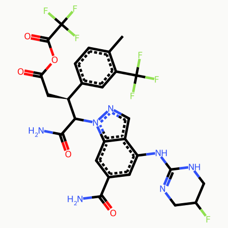 Cc1ccc([C@H](CC(=O)OC(=O)C(F)(F)F)C(C(N)=O)n2ncc3c(NC4=NCC(F)CN4)cc(C(N)=O)cc32)cc1C(F)(F)F